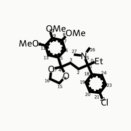 CCC(CCC1(c2cc(OC)c(OC)c(OC)c2)OCCO1)(c1ccc(Cl)cc1)N(C)C